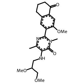 COCC(CNc1c(C)nc(-c2cc3c(cc2OC)C(=O)CCC3)n(C)c1=O)OC